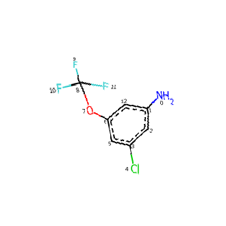 Nc1cc(Cl)cc(OC(F)(F)F)c1